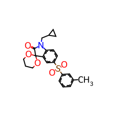 Cc1cccc(S(=O)(=O)c2ccc3c(c2)C2(OCCCO2)C(=O)N3CC2CC2)c1